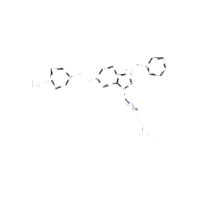 O=C(O)CO/N=C/c1cn(Cc2ccccc2)c2ccc(OCc3ccc(Br)cc3)cc12